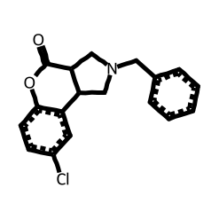 O=C1Oc2ccc(Cl)cc2C2CN(Cc3ccccc3)CC12